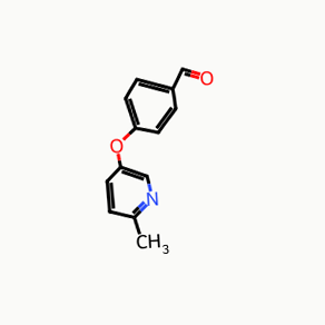 Cc1ccc(Oc2ccc(C=O)cc2)cn1